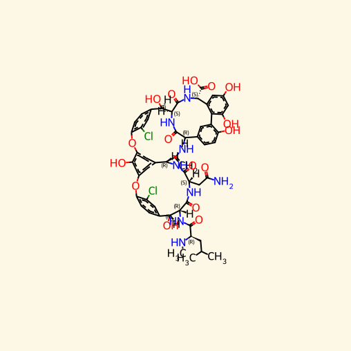 C=C1N[C@H]2C(=O)N[C@H](C(=O)N[C@H](C(=O)O)c3cc(O)cc(O)c3-c3cc2ccc3O)[C@H](O)c2ccc(c(Cl)c2)Oc2cc3cc(c2O)Oc2ccc(cc2Cl)[C@@H](O)[C@@H](NC(=O)[C@@H](CC(C)C)NC)C(=O)N[C@@H](CC(N)=O)C(=O)N[C@@H]13